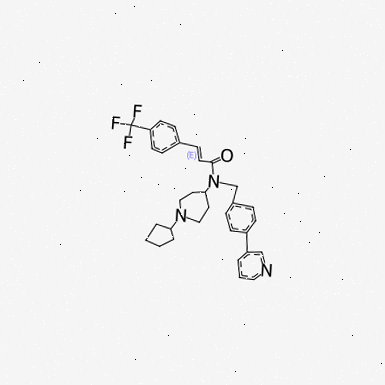 O=C(/C=C/c1ccc(C(F)(F)F)cc1)N(Cc1ccc(-c2cccnc2)cc1)C1CCN(C2CCCC2)CC1